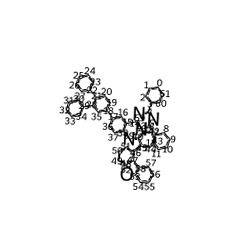 c1ccc(-c2nc(-c3ccccc3)nc(-c3cc(-c4ccc(-c5ccccc5)c(-c5ccccc5)c4)ccc3-n3c4ccccc4c4c5c(ccc43)oc3ccccc35)n2)cc1